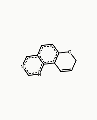 C1=Cc2c(ccc3cncnc23)OC1